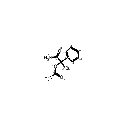 CCC(C)C(OC(N)=O)(C(N)=O)c1ccccc1